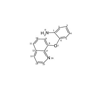 Nc1ccccc1Oc1cccc2cccnc12